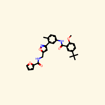 COc1ccc(C(C)(C)C)cc1C(=O)Nc1ccc(C)c(-c2cc(CNC(=O)c3ccco3)on2)c1